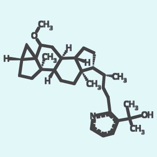 COC1C[C@H]2[C@@H]3CC[C@H]([C@H](C)CCc4ncccc4C(C)(C)O)[C@@]3(C)CC[C@@H]2[C@@]2(C)CC[C@@H]3CC132